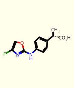 C[C@H](C(=O)O)c1ccc(Nc2nc(F)co2)cc1